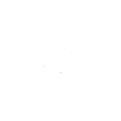 CC1(c2nsc(N(CCCN)Cc3nccs3)n2)C=CN1